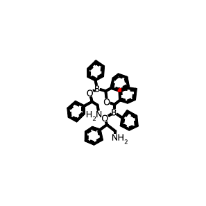 NCC(OB(c1ccccc1)C(OC(B(OC(CN)c1ccccc1)c1ccccc1)c1ccccc1)c1ccccc1)c1ccccc1